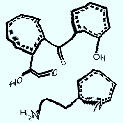 NCCc1ccccn1.O=C(O)c1ccccc1C(=O)c1ccccc1O